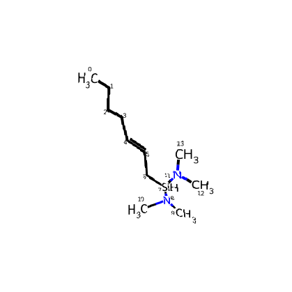 CCCCC=CC[SiH](N(C)C)N(C)C